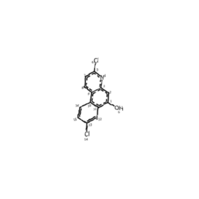 Oc1cc2nc(Cl)ccc2c2c1I=C(Cl)C=C2